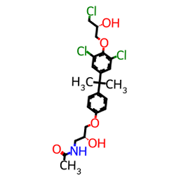 CC(=O)NC[C@@H](O)COc1ccc(C(C)(C)c2cc(Cl)c(OC[C@@H](O)CCl)c(Cl)c2)cc1